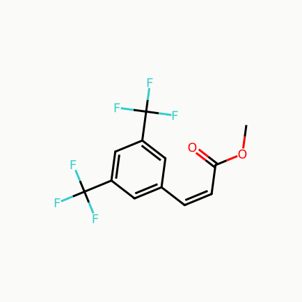 COC(=O)/C=C\c1cc(C(F)(F)F)cc(C(F)(F)F)c1